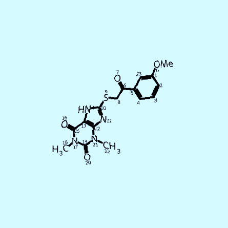 COc1cccc(C(=O)CSc2nc3c([nH]2)c(=O)n(C)c(=O)n3C)c1